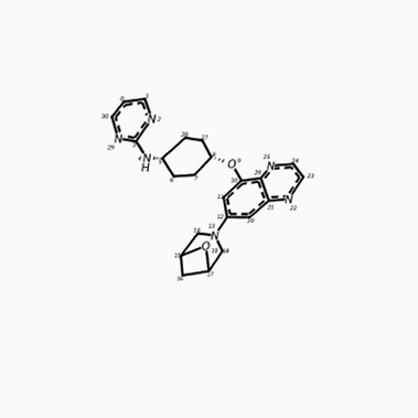 c1cnc(N[C@H]2CC[C@@H](Oc3cc(N4CC5CC(C4)O5)cc4nccnc34)CC2)nc1